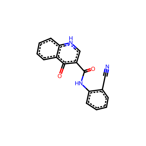 N#Cc1ccccc1NC(=O)c1c[nH]c2ccccc2c1=O